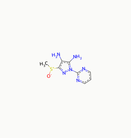 C[S+]([O-])c1nn(-c2ncccn2)c(N)c1N